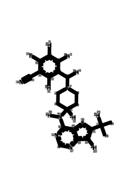 [2H]c1c([2H])c(C([2H])N2CCC([2H])(N([2H])c3ncnc4c([2H])c(C([2H])(C)C)sc34)CC2)c([2H])c(C#N)c1F